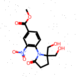 COC(=O)c1ccc(N2C(=O)CCC2(CO)CO)c([N+](=O)[O-])c1